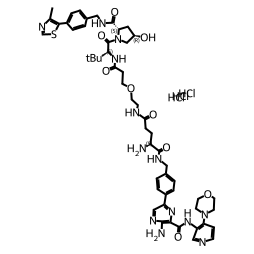 Cc1ncsc1-c1ccc(CNC(=O)[C@@H]2C[C@@H](O)CN2C(=O)[C@@H](NC(=O)CCOCCNC(=O)CC[C@H](N)C(=O)NCc2ccc(-c3cnc(N)c(C(=O)Nc4cnccc4N4CCOCC4)n3)cc2)C(C)(C)C)cc1.Cl.Cl.Cl